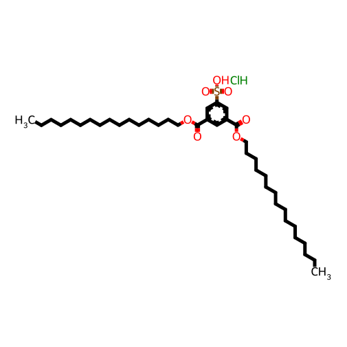 CCCCCCCCCCCCCCCCOC(=O)c1cc(C(=O)OCCCCCCCCCCCCCCCC)cc(S(=O)(=O)O)c1.Cl